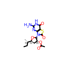 CC[C@H](C)[C@@H]1C[C@@H](OC(C)=O)[C@H](n2c(=O)sc3c(=O)[nH]c(N)nc32)O1